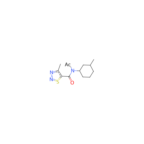 CC(=O)N(C(=O)c1snnc1C)C1CCCC(C)C1